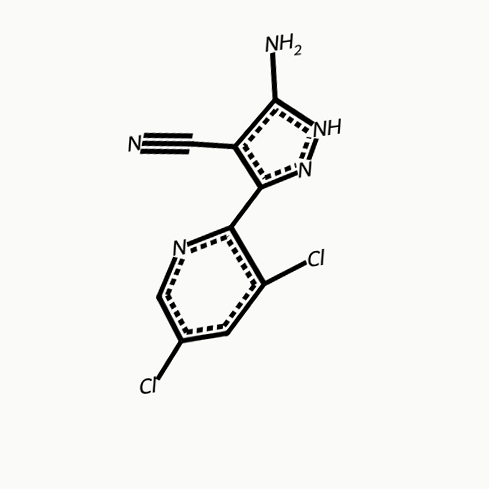 N#Cc1c(-c2ncc(Cl)cc2Cl)n[nH]c1N